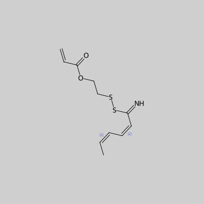 C=CC(=O)OCCSSC(=N)/C=C\C=C/C